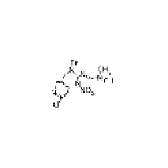 CCN(Cc1ccc(Cl)nc1)C(N=CN(C)C)=N[N+](=O)[O-]